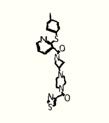 Cc1ccc(Sc2ncccc2C(=O)N2CC(N3CCN(C(=O)c4cscn4)CC3)C2)cc1